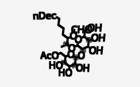 CCCCCCCCCCCCCCC(OC=O)[C@H](C)OC1OC(CO)[C@@H](O)C(O)[C@@H]1O[C@@H]1OC(COC(C)=O)[C@@H](O)C(O)[C@@H]1O